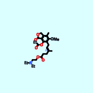 CCC(=O)Oc1c(C/C=C(\C)CCC(=O)OCCN(CC)CC)c(OC)c(C)c2c1C(=O)OC2